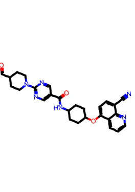 N#Cc1ccc(OC2CCC(NC(=O)c3cnc(N4CCC(C=O)CC4)nc3)CC2)c2cccnc12